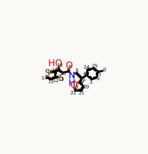 Cc1ccc(C(=CNC(=O)c2sc3ccsc3c2O)c2ccco2)cc1